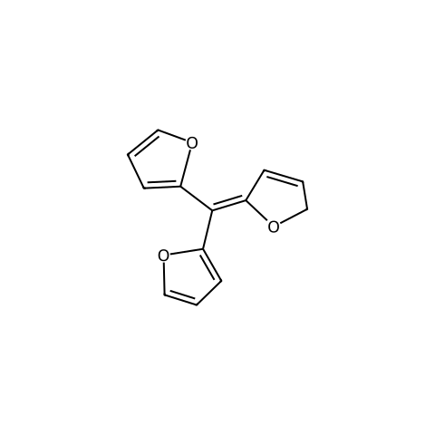 C1=CC(=C(c2ccco2)c2ccco2)OC1